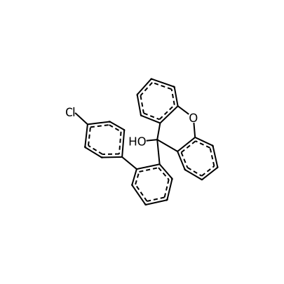 OC1(c2ccccc2-c2ccc(Cl)cc2)c2ccccc2Oc2ccccc21